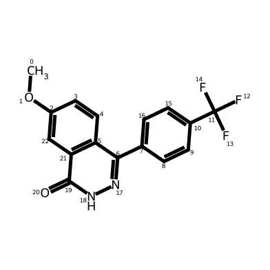 COc1ccc2c(-c3ccc(C(F)(F)F)cc3)n[nH]c(=O)c2c1